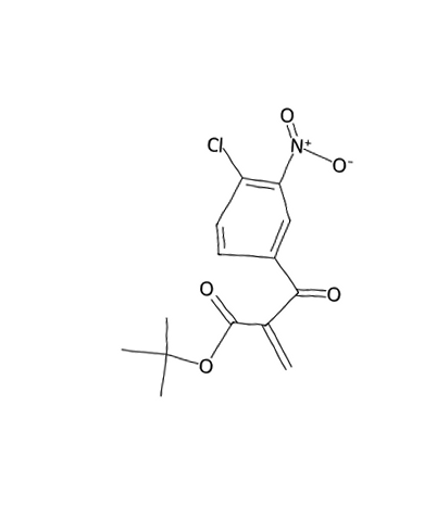 C=C(C(=O)OC(C)(C)C)C(=O)c1ccc(Cl)c([N+](=O)[O-])c1